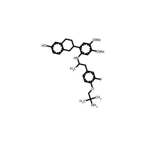 COc1cc(NC(C)Cc2ccc(OCC(C)(C)N)c(F)c2)c(C2CCc3cc(O)ccc3C2)cc1OC